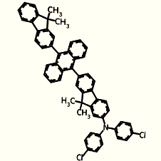 CC1(C)c2ccccc2-c2ccc(-c3c4ccccc4c(-c4ccc5c(c4)C(C)(C)c4cc(N(c6ccc(Cl)cc6)c6ccc(Cl)cc6)ccc4-5)c4ccccc34)cc21